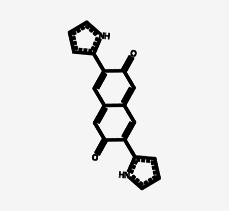 O=C1C=C2C=C(c3ccc[nH]3)C(=O)C=C2C=C1c1ccc[nH]1